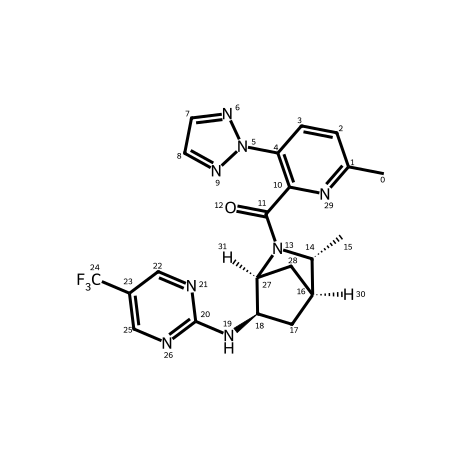 Cc1ccc(-n2nccn2)c(C(=O)N2[C@H](C)[C@H]3C[C@@H](Nc4ncc(C(F)(F)F)cn4)[C@@H]2C3)n1